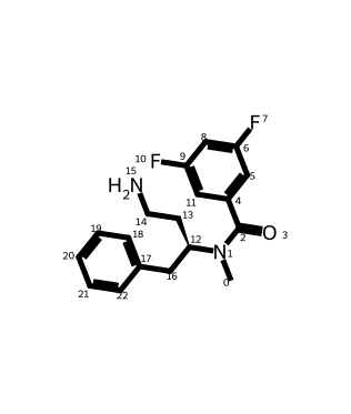 CN(C(=O)c1cc(F)cc(F)c1)[C@H](CCN)Cc1ccccc1